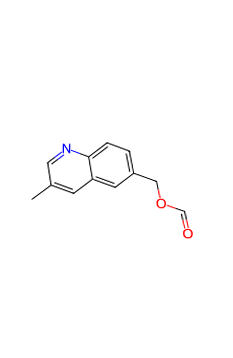 Cc1cnc2ccc(COC=O)cc2c1